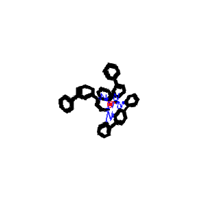 C1=CC(n2c3ccccc3c3ccc4c5ccccc5n(-c5nc6c(o5)CCC=C6)c4c32)=NC(c2cccc(-c3ccccc3)c2)=NC=1c1cccc(-c2ccccc2)c1